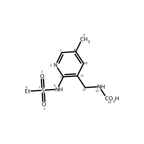 CCS(=O)(=O)Nc1ncc(C)cc1CNC(=O)O